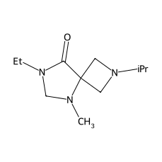 CCN1CN(C)C2(CN(C(C)C)C2)C1=O